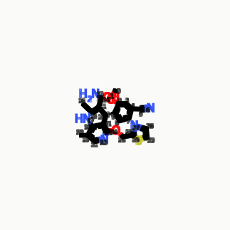 COc1cc(C#N)ccc1[C@H]1C(C(N)O)=C(C)Nc2c(C)cnc(OCc3nccs3)c21